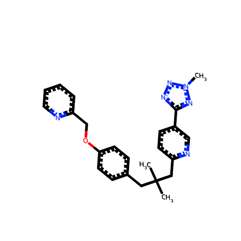 Cn1nnc(-c2ccc(CC(C)(C)Cc3ccc(OCc4ccccn4)cc3)nc2)n1